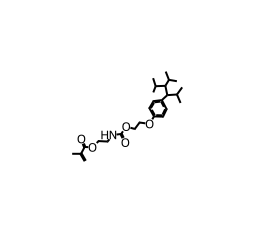 C=C(C)C(=O)OCCNC(=O)OCCOc1ccc(C(C(C)C)C(C(C)C)C(C)C)cc1